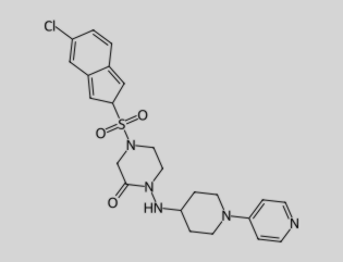 O=C1CN(S(=O)(=O)C2C=c3ccc(Cl)cc3=C2)CCN1NC1CCN(c2ccncc2)CC1